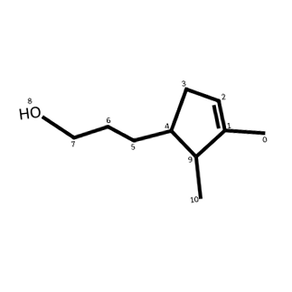 CC1=CCC(CCCO)C1C